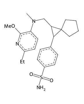 CCc1ccc(N(C)CC2C(c3ccc(S(N)(=O)=O)cc3)C23CCCC3)c(OC)n1